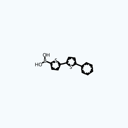 OB(O)c1ccc(-c2ccc(-c3ccccc3)s2)s1